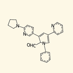 O=CC1C(c2ccc(N3CCCC3)nc2)=CC(c2ccccn2)=CN1c1ccccc1